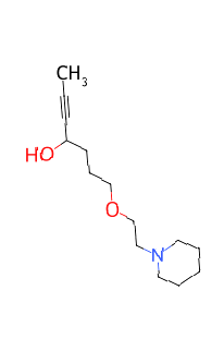 CC#CC(O)CCCOCCN1CCCCC1